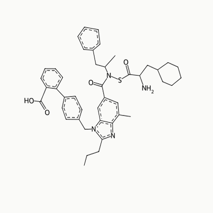 CCCc1nc2c(C)cc(C(=O)N(SC(=O)C(N)CC3CCCCC3)C(C)Cc3ccccc3)cc2n1Cc1ccc(-c2ccccc2C(=O)O)cc1